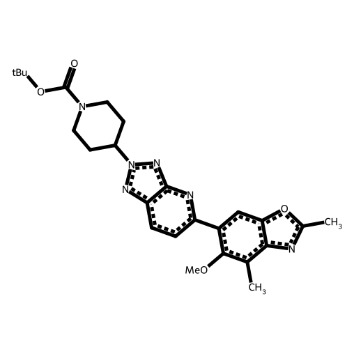 COc1c(-c2ccc3nn(C4CCN(C(=O)OC(C)(C)C)CC4)nc3n2)cc2oc(C)nc2c1C